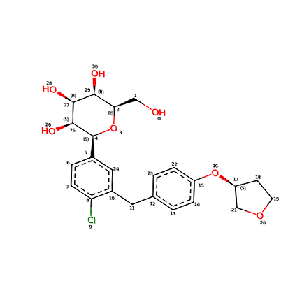 OC[C@H]1O[C@@H](c2ccc(Cl)c(Cc3ccc(O[C@H]4CCOC4)cc3)c2)[C@@H](O)[C@@H](O)[C@H]1O